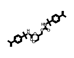 C=C(C)c1ccc(C(C)(C)NC(=O)OCC(CCl)OC(=O)NC(C)(C)c2ccc(C(=C)C)cc2)cc1